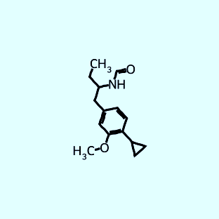 CCC(Cc1ccc(C2CC2)c(OC)c1)NC=O